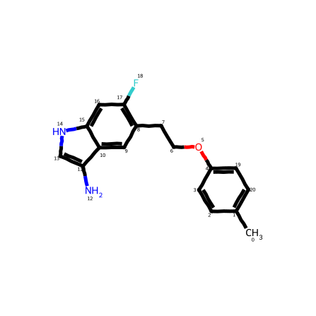 Cc1ccc(OCCc2cc3c(N)c[nH]c3cc2F)cc1